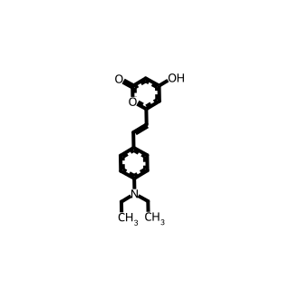 CCN(CC)c1ccc(C=Cc2cc(O)cc(=O)o2)cc1